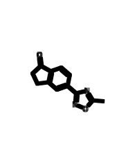 Cc1nc(-c2ccc3c(c2)CCC3=O)no1